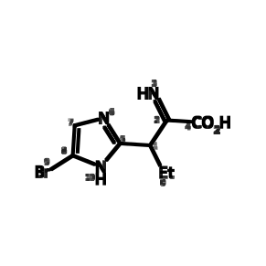 CCC(C(=N)C(=O)O)c1ncc(Br)[nH]1